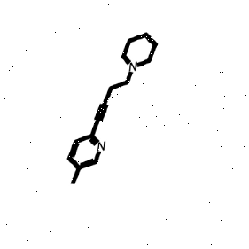 Cc1ccc(C#CCCN2CCCCC2)nc1